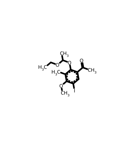 CCOC(C)Oc1c(C(C)=O)cc(I)c(OC)c1C